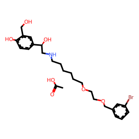 CC(=O)O.OCc1cc([C@@H](O)CNCCCCCCOCCOCc2cccc(Br)c2)ccc1O